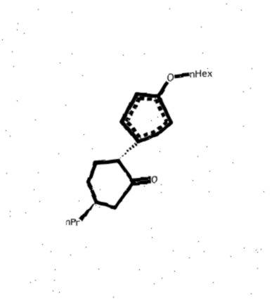 CCCCCCOc1ccc([C@H]2CC[C@H](CCC)CC2=O)cc1